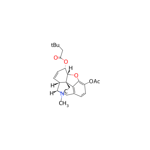 CC(=O)Oc1ccc2c3c1O[C@H]1[C@@H](OC(=O)CC(C)(C)C)C=C[C@H]4[C@@H](C2)N(C)CC[C@@]341